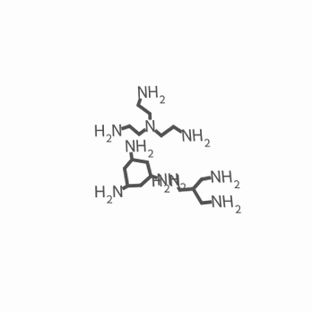 NC1CC(N)CC(N)C1.NCC(CN)CN.NCCN(CCN)CCN